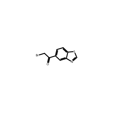 O=C(CBr)c1ccc2scnc2c1